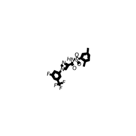 Cc1ccc(C)c(S(=O)(=O)NC(=O)c2cn(-c3cc(F)cc(C(F)(F)F)c3)cn2)c1